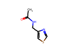 CC(=O)N[CH]c1cscn1